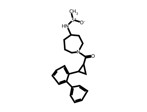 C[S+]([O-])NC1CCCN(C(=O)C2CC2c2ccccc2-c2ccccc2)CC1